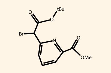 COC(=O)c1cccc(C(Br)C(=O)OC(C)(C)C)n1